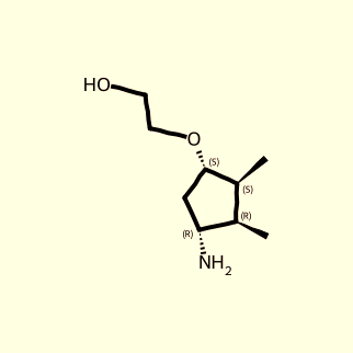 C[C@@H]1[C@H](C)[C@@H](OCCO)C[C@H]1N